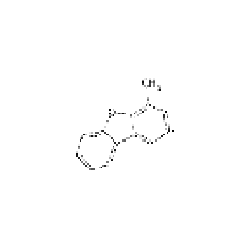 Cc1c[c]cc2c1oc1ccccc12